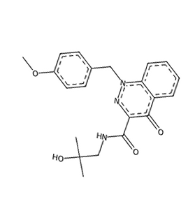 COc1ccc(Cn2nc(C(=O)NCC(C)(C)O)c(=O)c3ccccc32)cc1